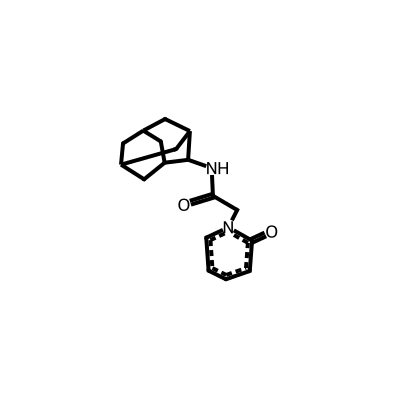 O=C(Cn1ccccc1=O)NC1C2CC3CC(C2)CC1C3